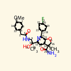 COc1ccc(CC(=O)NC[C@](O)(c2cc3c(c(-c4ccc(F)cc4)n2)OC[C@]3(C)C(N)=O)C(F)(F)F)cc1